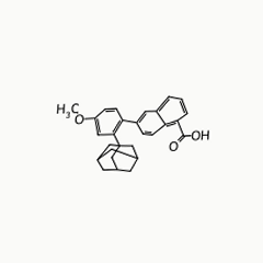 COc1ccc(-c2ccc3c(C(=O)O)cccc3c2)c(C23CC4CC(CC(C4)C2)C3)c1